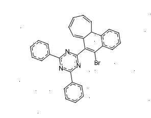 BrC1=C(c2nc(-c3ccccc3)nc(-c3ccccc3)n2)C2=CC=CC=CC2c2ccccc21